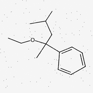 [CH2]C(CC(C)C)(OCC)c1ccccc1